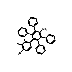 Cc1c(N)ccc(-c2c(-c3ccccc3)c(-c3ccccc3)c(N)c(-c3ccccc3)c2-c2ccccc2)c1C